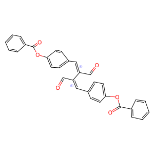 O=CC(=C/c1ccc(OC(=O)c2ccccc2)cc1)/C(C=O)=C\c1ccc(OC(=O)c2ccccc2)cc1